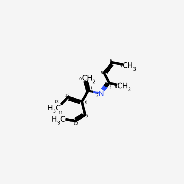 C=C(/N=C(C)\C=C/C)C(/C=C\C)=C/C